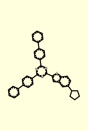 c1ccc(-c2ccc(-c3nc(-c4ccc(-c5ccccc5)cc4)nc(-c4cc5cc(C6CCCC6)ccc5s4)n3)cc2)cc1